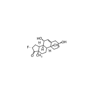 C[C@]12CC[C@H](O)CC1=C[C@H](O)[C@@H]1[C@@H]2CC[C@]2(C)C(=O)[C@H](F)C[C@@H]12